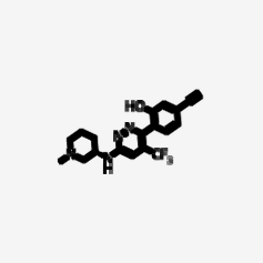 C#Cc1ccc(-c2nnc(N[C@@H]3CCCN(C)C3)cc2C(F)(F)F)c(O)c1